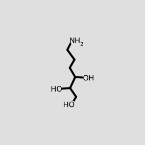 NCCCC(O)C(O)CO